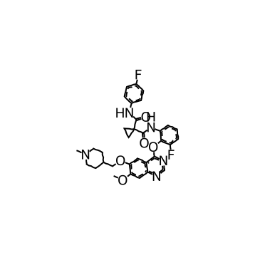 COc1cc2ncnc(Oc3c(F)cccc3NC(=O)C3(C(=O)Nc4ccc(F)cc4)CC3)c2cc1OCC1CCN(C)CC1